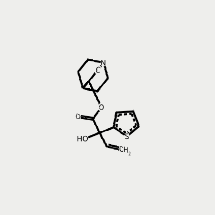 C=CC(O)(C(=O)OC1CN2CCC1CC2)c1cccs1